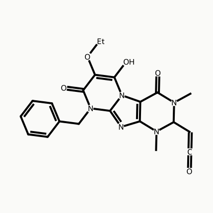 CCOc1c(O)n2c3c(nc2n(Cc2ccccc2)c1=O)N(C)C(C=C=O)N(C)C3=O